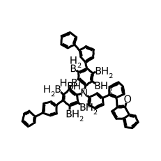 Bc1c(B)c(N(c2cccc(-c3cccc4oc5c6ccccc6ccc5c34)c2)c2c(B)c(B)c(-c3cccc(-c4ccccc4)c3)c(B)c2B)c(B)c(B)c1-c1ccc(-c2ccccc2)cc1